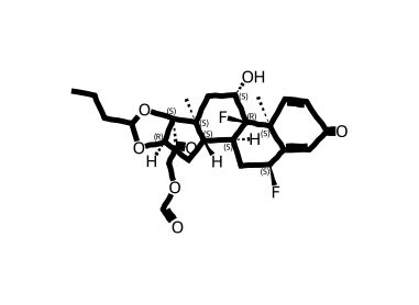 CCCC1O[C@@H]2C[C@H]3[C@@H]4C[C@H](F)C5=CC(=O)C=C[C@]5(C)[C@@]4(F)[C@@H](O)C[C@]3(C)[C@]2(C(=O)COC=O)O1